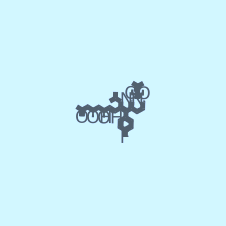 CC(=O)C[C@H](O)C[C@H](O)/C=C/c1c(C(C)C)nc2c(c1-c1ccc(F)cc1)CCCN2S(=O)(=O)C(C)C